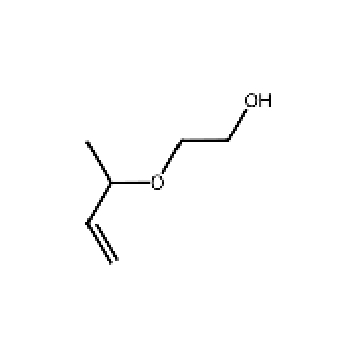 C=CC(C)OCCO